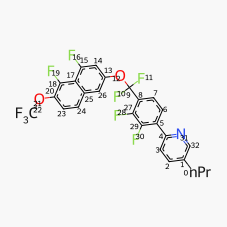 CCCc1ccc(-c2ccc(C(F)(F)Oc3cc(F)c4c(F)c(OC(F)(F)F)ccc4c3)c(F)c2F)nc1